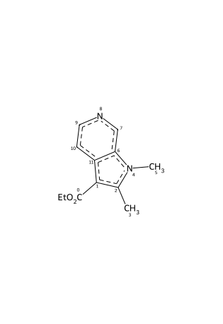 CCOC(=O)c1c(C)n(C)c2cnccc12